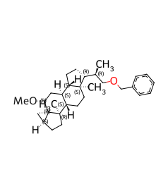 CO[C@@H]1C[C@H]2[C@@H]3CC[C@H]([C@@H](C)COCc4ccccc4)[C@@]3(C)CC[C@@H]2[C@@]2(C)CC[C@H]3C[C@]312